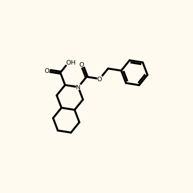 O=C(O)C1CC2CCCCC2CN1C(=O)OCc1ccccc1